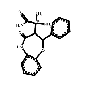 C[C@](N)(C(N)=O)C1C(=O)Nc2ccccc2SC1c1ccccc1